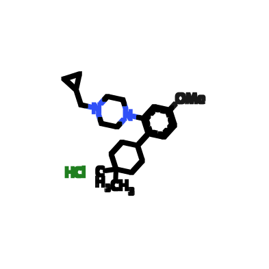 COc1ccc(C2CCC(C)(C)CC2)c(N2CCN(CC3CC3)CC2)c1.Cl